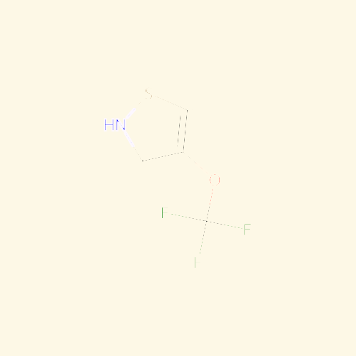 FC(F)(F)OC1=[C]SNC1